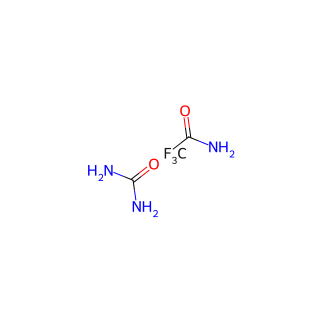 NC(=O)C(F)(F)F.NC(N)=O